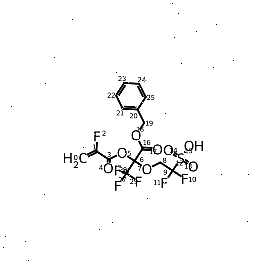 C=C(F)C(=O)OC(OCC(F)(F)S(=O)(=O)O)(C(=O)OCc1ccccc1)C(F)(F)F